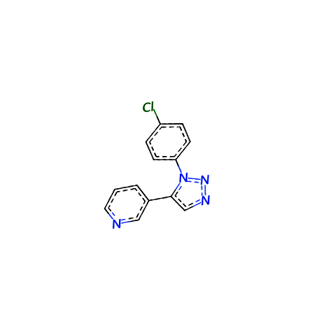 Clc1ccc(-n2nncc2-c2cccnc2)cc1